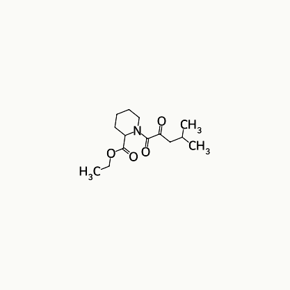 CCOC(=O)C1CCCCN1C(=O)C(=O)CC(C)C